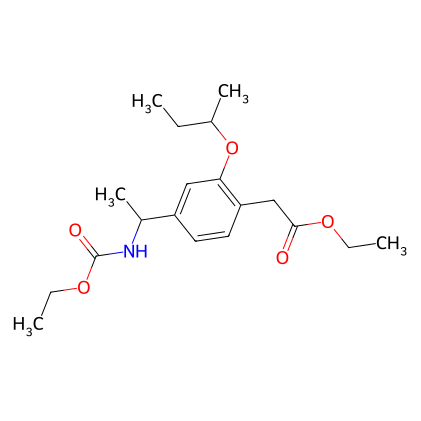 CCOC(=O)Cc1ccc(C(C)NC(=O)OCC)cc1OC(C)CC